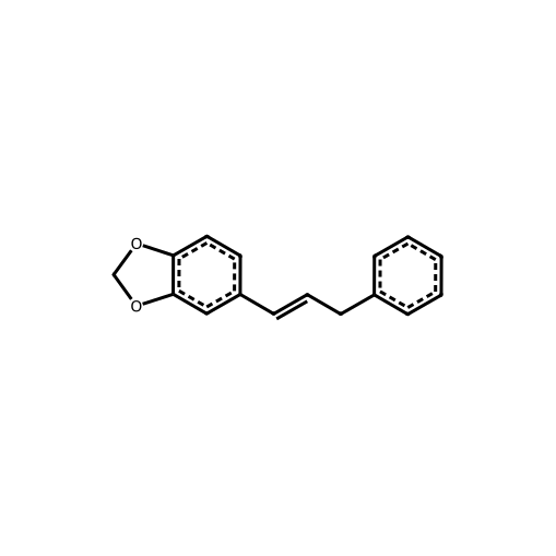 C(=C\c1ccc2c(c1)OCO2)/Cc1ccccc1